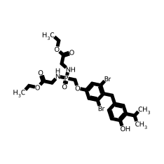 CCOC(=O)CNP(=O)(COc1cc(Br)c(Cc2ccc(O)c(C(C)C)c2)c(Br)c1)NCC(=O)OCC